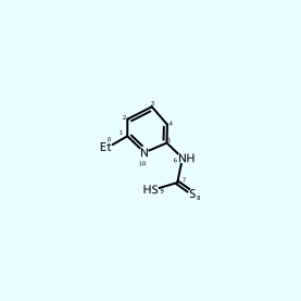 CCc1cccc(NC(=S)S)n1